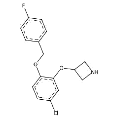 Fc1ccc(COc2ccc(Cl)cc2OC2CNC2)cc1